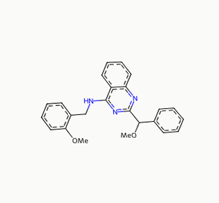 COc1ccccc1CNc1nc(C(OC)c2ccccc2)nc2ccccc12